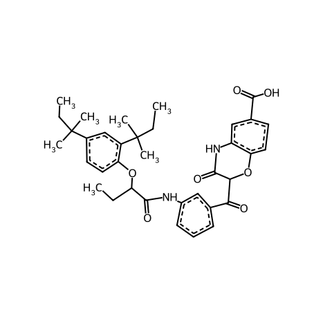 CCC(Oc1ccc(C(C)(C)CC)cc1C(C)(C)CC)C(=O)Nc1cccc(C(=O)C2Oc3ccc(C(=O)O)cc3NC2=O)c1